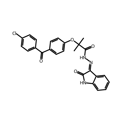 CC(C)(Oc1ccc(C(=O)c2ccc(Cl)cc2)cc1)C(=O)N/N=C1\C(=O)Nc2ccccc21